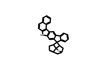 c1ccc2c(c1)-c1cc3c(cc1C21C2CC4CC5CC1C2(C4)C5)[nH]c1ccc2ccccc2c13